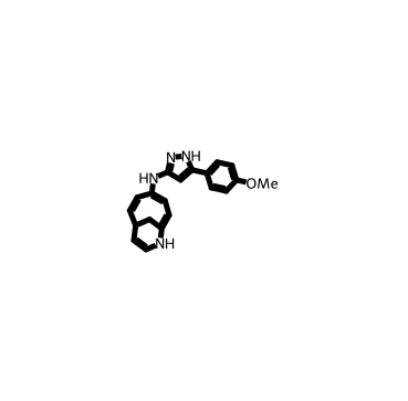 COc1ccc(-c2cc(N/C3=C/C=C4\CC(C=CN4)C=C3)n[nH]2)cc1